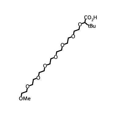 COCCOCCOCCOCCOCCOCCOCCOC(C(=O)O)C(C)(C)C